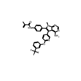 C=C(C)C(=O)Nc1ccc(-c2c(-c3ccc(Oc4cccc(C(F)(F)F)c4)nc3)c3c(N)ncnc3n2C)cc1